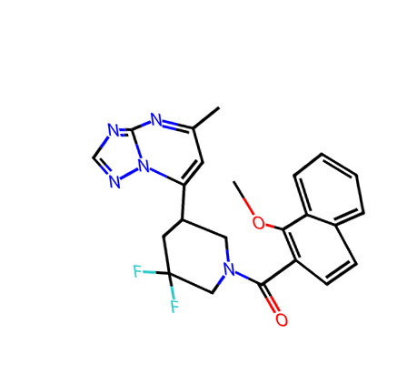 COc1c(C(=O)N2CC(c3cc(C)nc4ncnn34)CC(F)(F)C2)ccc2ccccc12